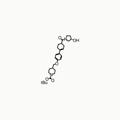 CC(C)(C)OC(=O)N1CCC(COc2ccc(C3=CCC(C(=O)N4CC[C@@H](O)C4)CC3)cc2)CC1